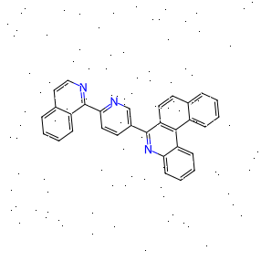 c1ccc2c(-c3ccc(-c4nc5ccccc5c5c4ccc4ccccc45)cn3)nccc2c1